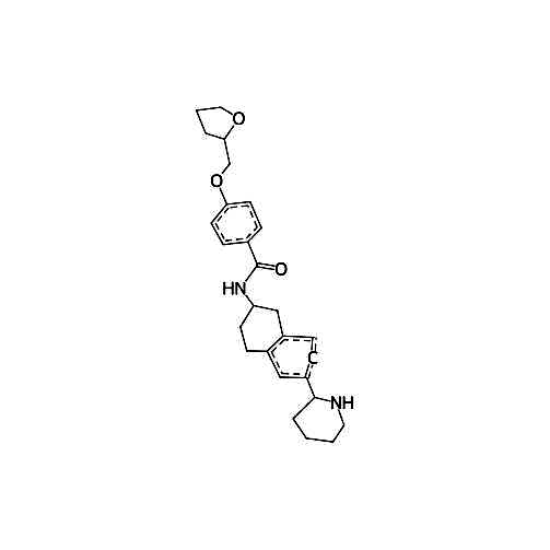 O=C(NC1CCc2cc(C3CCCCN3)ccc2C1)c1ccc(OCC2CCCO2)cc1